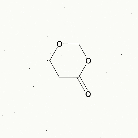 O=C1C[CH]OCO1